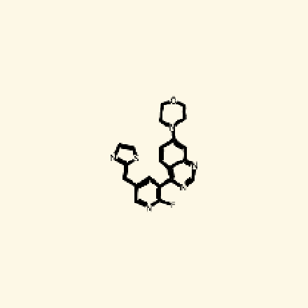 Fc1ncc(Cc2nccs2)cc1-c1ncnc2cc(N3CCOCC3)ccc12